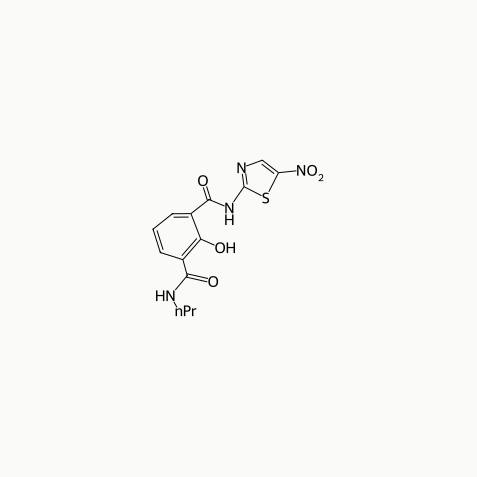 CCCNC(=O)c1cccc(C(=O)Nc2ncc([N+](=O)[O-])s2)c1O